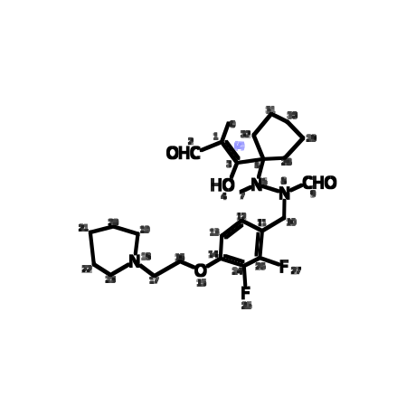 C/C(C=O)=C(/O)C1(N(C)N(C=O)Cc2ccc(OCCN3CCCCC3)c(F)c2F)CCCCC1